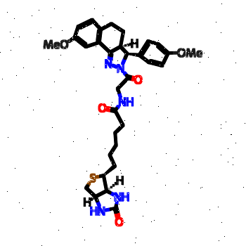 COc1ccc([C@@H]2[C@@H]3CCc4ccc(OC)cc4C3=NN2C(=O)CNC(=O)CCCCC[C@@H]2SC[C@@H]3NC(=O)N[C@@H]32)cc1